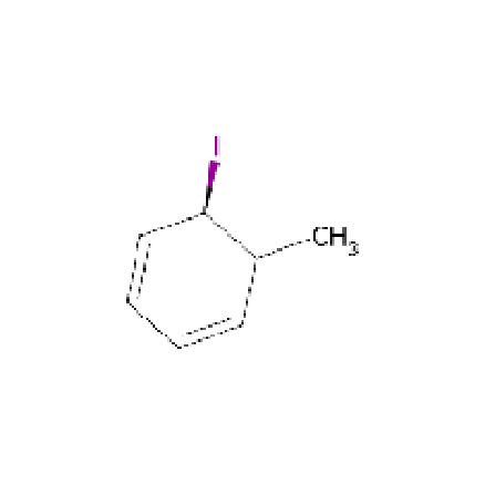 CC1C=CC=C[C@H]1I